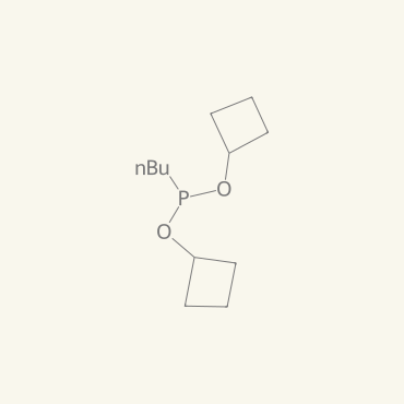 CCCCP(OC1CCC1)OC1CCC1